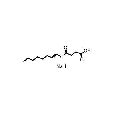 CCCCCCC=COC(=O)CCC(=O)O.[NaH]